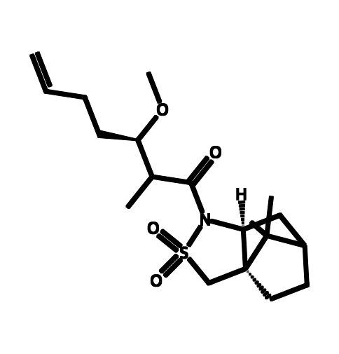 C=CCC[C@@H](OC)C(C)C(=O)N1[C@H]2CC3CC[C@@]2(CS1(=O)=O)C3(C)C